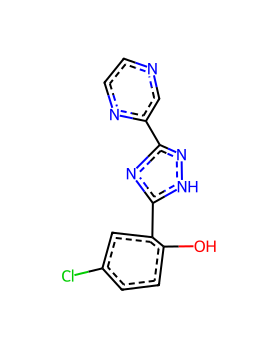 Oc1ccc(Cl)cc1-c1nc(-c2cnccn2)n[nH]1